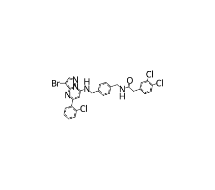 O=C(Cc1ccc(Cl)c(Cl)c1)NCc1ccc(CNc2cc(-c3ccccc3Cl)nc3c(Br)cnn23)cc1